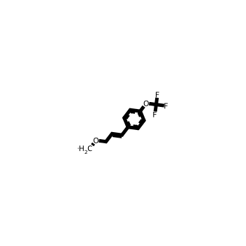 [CH2]OCC=Cc1ccc(OC(F)(F)F)cc1